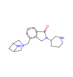 O=C1c2cccc(CN3CC4CC(C3)N4)c2CN1C1CCCNC1